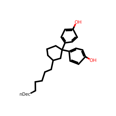 CCCCCCCCCCCCCCCC1CCCC(c2ccc(O)cc2)(c2ccc(O)cc2)C1